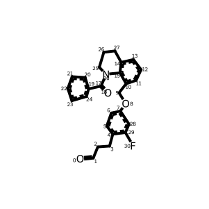 O=CCCc1ccc(OCc2cccc3c2N(C(=O)c2ccccc2)CCC3)cc1F